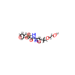 COCCOCC(C)(C)c1cc(NC(=O)C(C)(C)S(=O)(=O)CC2CCOCC2)no1